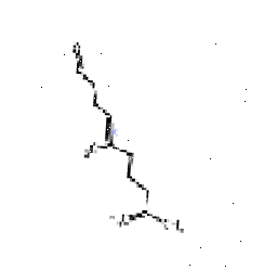 C=C(C)CCC/C(C)=C/CCC=O